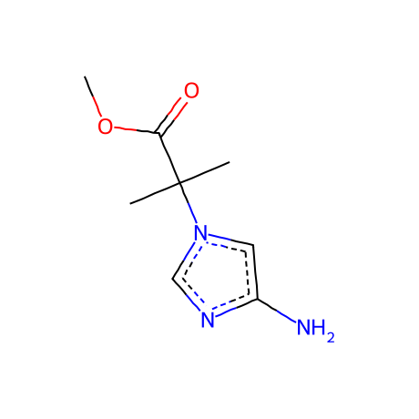 COC(=O)C(C)(C)n1cnc(N)c1